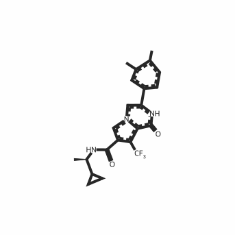 Cc1ccc(-c2cn3cc(C(=O)N[C@H](C)C4CC4)c(C(F)(F)F)c3c(=O)[nH]2)cc1C